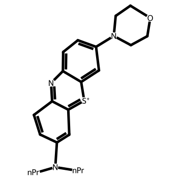 CCCN(CCC)c1ccc2nc3ccc(N4CCOCC4)cc3[s+]c2c1